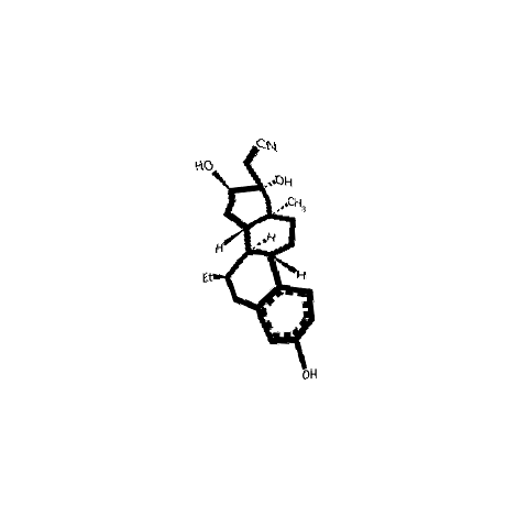 CC[C@@H]1Cc2cc(O)ccc2[C@H]2CC[C@@]3(C)[C@@H](C[C@@H](O)[C@@]3(O)CC#N)[C@H]12